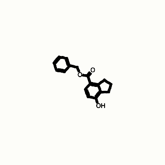 O=C(OCc1ccccc1)c1ccc(O)c2c1CCC2